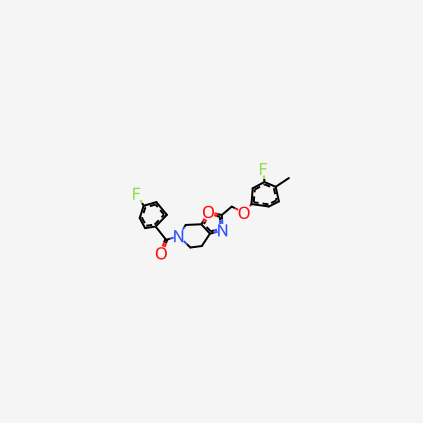 Cc1ccc(OCc2nc3c(o2)CN(C(=O)c2ccc(F)cc2)CC3)cc1F